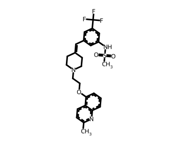 Cc1ccc2c(OCCN3CCC(=Cc4cc(NS(C)(=O)=O)cc(C(F)(F)F)c4)CC3)cccc2n1